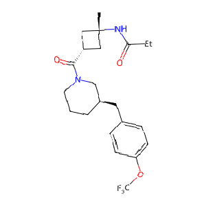 CCC(=O)N[C@]1(C)C[C@H](C(=O)N2CCC[C@H](Cc3ccc(OC(F)(F)F)cc3)C2)C1